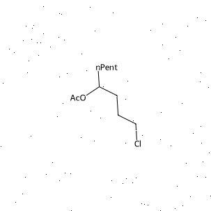 CCCCCC(CCCCl)OC(C)=O